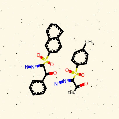 Cc1ccc(S(=O)(=O)C(=[N+]=[N-])C(=O)C(C)(C)C)cc1.[N-]=[N+]=C(C(=O)c1ccccc1)S(=O)(=O)c1ccc2ccccc2c1